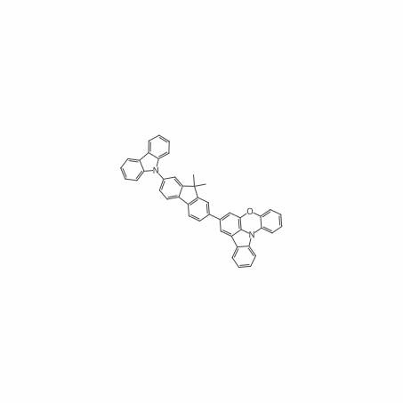 CC1(C)c2cc(-c3cc4c5c(c3)c3ccccc3n5-c3ccccc3O4)ccc2-c2ccc(-n3c4ccccc4c4ccccc43)cc21